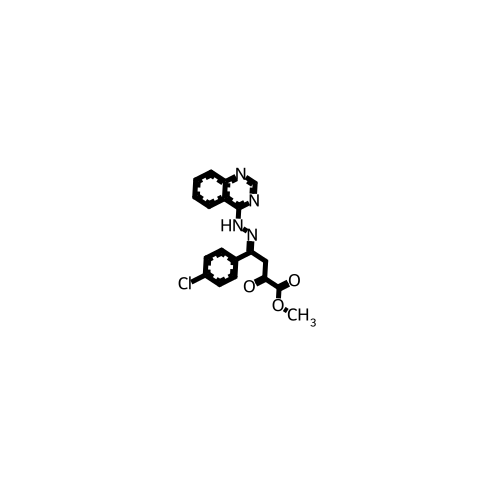 COC(=O)C(=O)C/C(=N/Nc1ncnc2ccccc12)c1ccc(Cl)cc1